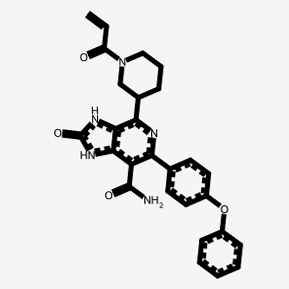 C=CC(=O)N1CCCC(c2nc(-c3ccc(Oc4ccccc4)cc3)c(C(N)=O)c3[nH]c(=O)[nH]c23)C1